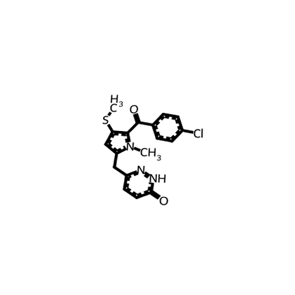 CSc1cc(Cc2ccc(=O)[nH]n2)n(C)c1C(=O)c1ccc(Cl)cc1